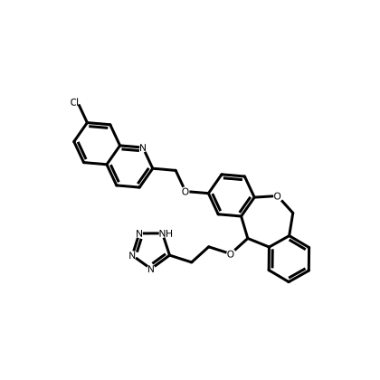 Clc1ccc2ccc(COc3ccc4c(c3)C(OCCc3nnn[nH]3)c3ccccc3CO4)nc2c1